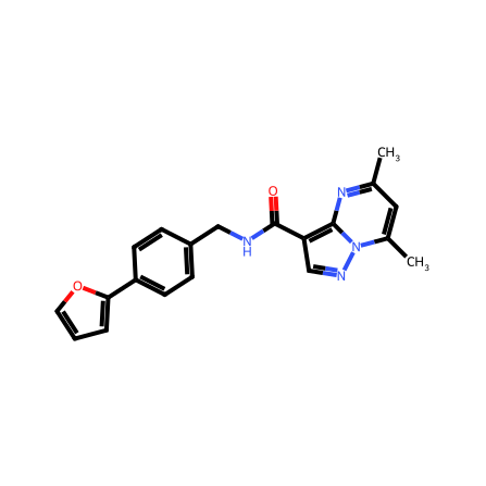 Cc1cc(C)n2ncc(C(=O)NCc3ccc(-c4ccco4)cc3)c2n1